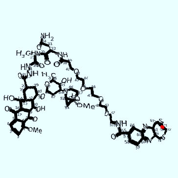 COc1cccc2c1C(=O)c1c(O)c3c(c(O)c1C2=O)CC(C(=O)NNC(=O)[C@H](C)NC(=O)[C@H](CC(N)=O)NC(=O)CCOCCOCCOCCOCCNC(=O)c1ccc2nc4c(nc2c1)CSC1=C(\C=C/C=C/C=C\1)SC4)C[C@@H]3O[C@H]1C[C@H](N2CCO[C@@]3(OC)C[C@@H]23)[C@H](O)[C@H](C)O1